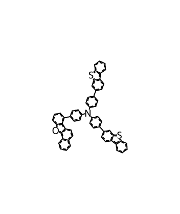 c1ccc2c(c1)ccc1c2oc2cccc(-c3ccc(N(c4ccc(-c5ccc6c(c5)sc5ccccc56)cc4)c4ccc(-c5ccc6c(c5)sc5ccccc56)cc4)cc3)c21